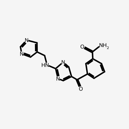 NC(=O)c1cccc(C(=O)c2cnc(NCc3cncnc3)nc2)c1